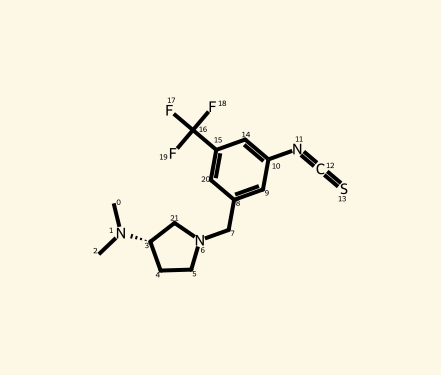 CN(C)[C@H]1CCN(Cc2cc(N=C=S)cc(C(F)(F)F)c2)C1